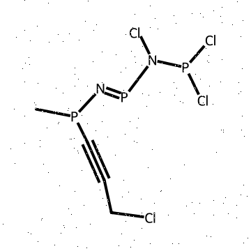 CP(C#CCCl)N=PN(Cl)P(Cl)Cl